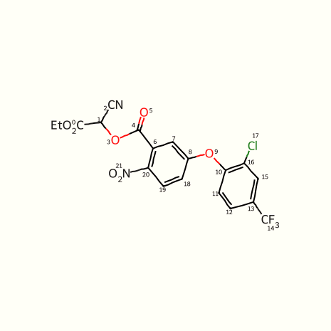 CCOC(=O)C(C#N)OC(=O)c1cc(Oc2ccc(C(F)(F)F)cc2Cl)ccc1[N+](=O)[O-]